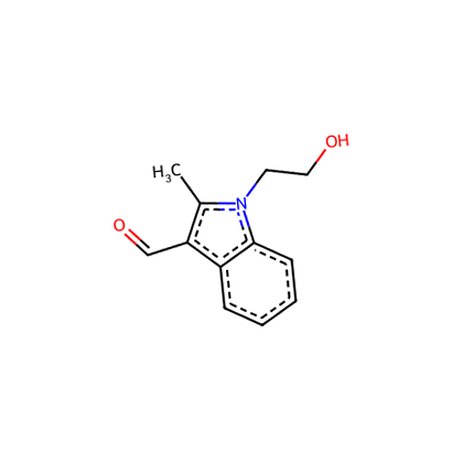 Cc1c(C=O)c2ccccc2n1CCO